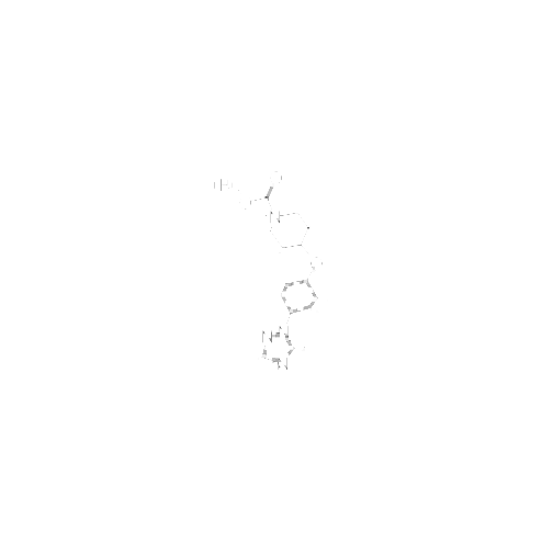 CC(C)(C)OC(=O)N1CCC(Oc2ccc(-n3cncn3)cc2)CC1